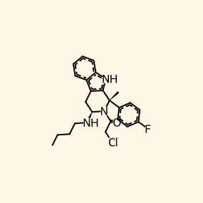 CCCCN[C@H]1Cc2c([nH]c3ccccc23)[C@](C)(c2ccc(F)cc2)N1C(=O)CCl